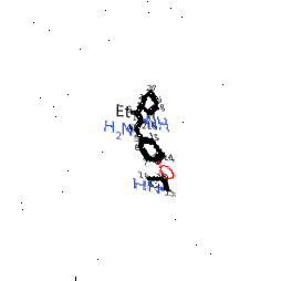 CCc1c([C@@H](N)c2ccc(OC3CNC3)cc2)[nH]c2ccccc12